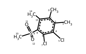 Cc1c(C)c(Cl)c(Cl)c(S(C)(=O)=O)c1C